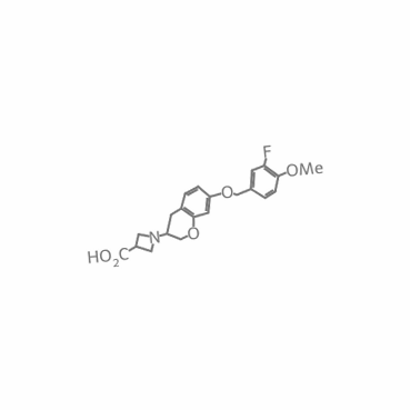 COc1ccc(COc2ccc3c(c2)OCC(N2CC(C(=O)O)C2)C3)cc1F